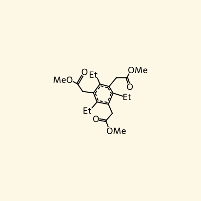 CCc1c(CC(=O)OC)c(CC)c(CC(=O)OC)c(CC)c1CC(=O)OC